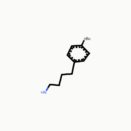 CCCCc1ccc(CCCC[NH])cc1